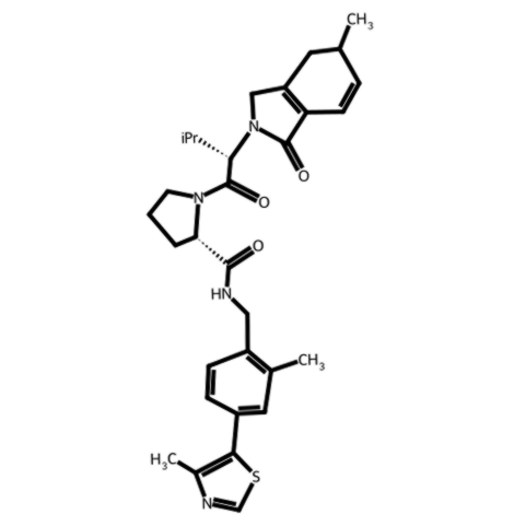 Cc1cc(-c2scnc2C)ccc1CNC(=O)[C@@H]1CCCN1C(=O)[C@H](C(C)C)N1CC2=C(C=CC(C)C2)C1=O